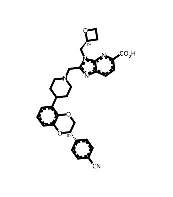 N#Cc1ccc([C@H]2COc3c(cccc3C3CCN(Cc4nc5ccc(C(=O)O)nc5n4C[C@@H]4CCO4)CC3)O2)cc1